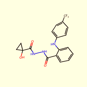 O=C(NNC(=O)C1(O)CC1)c1ccccc1Nc1ccc(C(F)(F)F)cc1